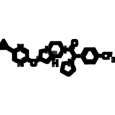 O=C(C(c1ccc(C(F)(F)F)cc1)N1CCCC1)N1CCN2C[C@H](Oc3cnc(C4CC4)cn3)C[C@H]2C1